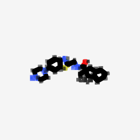 O=C(O)CC1(C(=O)NCc2nc3ccc(N4CCNCC4)cc3s2)Cc2ccccc2C1